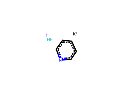 F.[I-].[K+].c1ccncc1